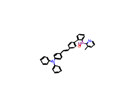 Cc1cccnc1[PH](=O)c1ccccc1-c1ccc(C=Cc2ccc(N(c3ccccc3)c3ccccc3)cc2)cc1